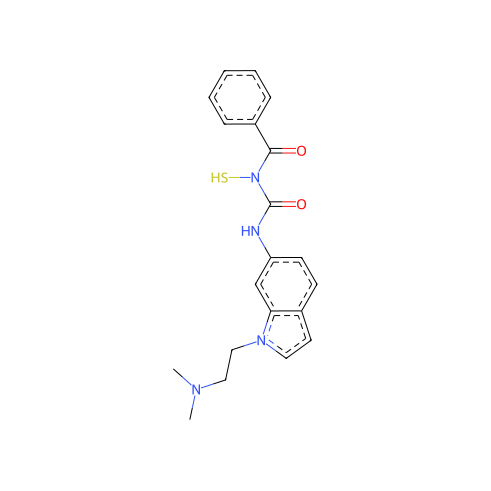 CN(C)CCn1ccc2ccc(NC(=O)N(S)C(=O)c3ccccc3)cc21